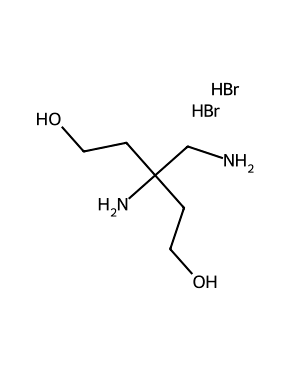 Br.Br.NCC(N)(CCO)CCO